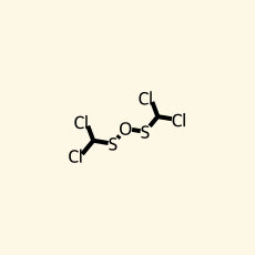 ClC(Cl)SOSC(Cl)Cl